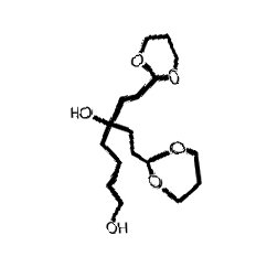 OCCCCC(O)(CCC1OCCCO1)CCC1OCCCO1